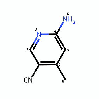 [C-]#[N+]c1cnc(N)cc1C